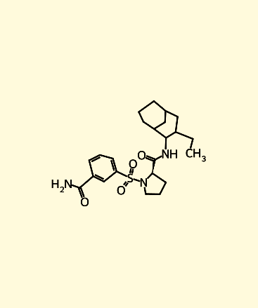 CCC1CC2CCCC(C2)C1NC(=O)[C@H]1CCCN1S(=O)(=O)c1cccc(C(N)=O)c1